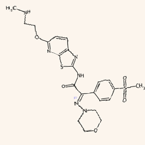 CNCCOc1ccc2nc(NC(=O)/C(=N/N3CCOCC3)c3ccc(S(C)(=O)=O)cc3)sc2n1